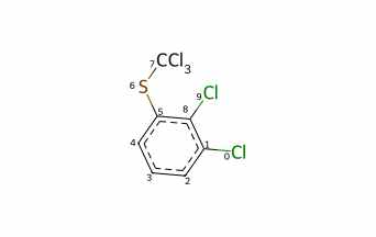 Clc1cccc(SC(Cl)(Cl)Cl)c1Cl